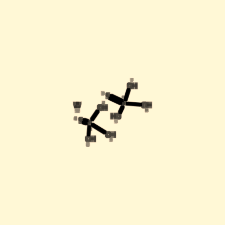 OP(O)(O)=S.OP(O)(O)=S.[W]